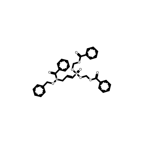 O=C(OCOP(=O)(/C=C/CN(OCc1ccccc1)C(=O)c1ccccc1)OCOC(=O)c1ccccc1)c1ccccc1